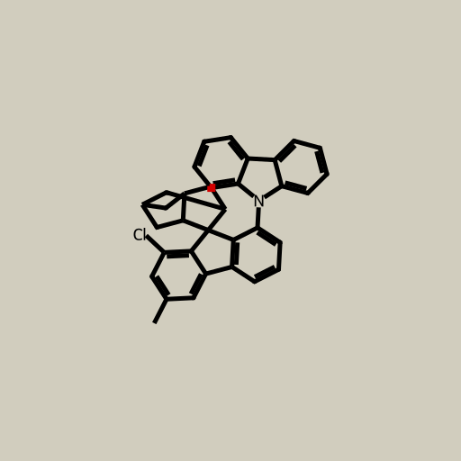 Cc1cc(Cl)c2c(c1)-c1cccc(-n3c4ccccc4c4ccccc43)c1C21C2CC3CC(C2)C1C3